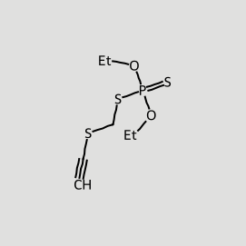 C#CSCSP(=S)(OCC)OCC